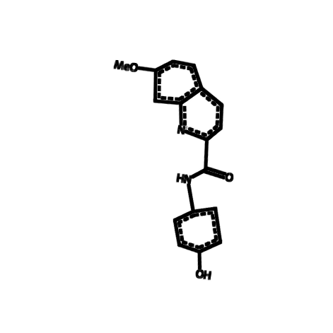 COc1ccc2ccc(C(=O)Nc3ccc(O)cc3)nc2c1